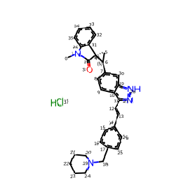 CN1C(=O)[C@@]2(C[C@H]2c2ccc3c(C=Cc4ccc(CN5CCCCC5)cc4)n[nH]c3c2)c2ccccc21.Cl